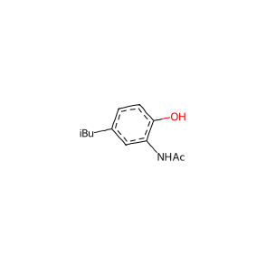 CCC(C)c1ccc(O)c(NC(C)=O)c1